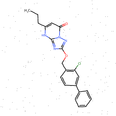 CCCc1cc(=O)n2nc(OCc3ccc(-c4ccccc4)cc3Cl)nc2[nH]1